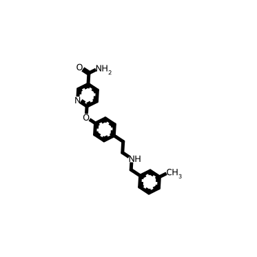 Cc1cccc(CNCCc2ccc(Oc3ccc(C(N)=O)cn3)cc2)c1